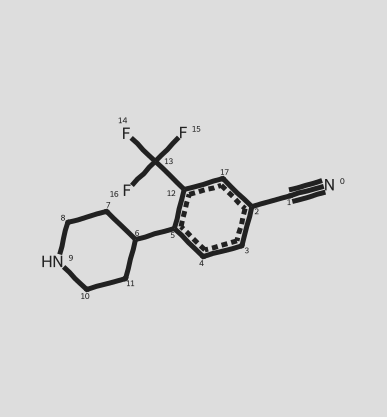 N#Cc1ccc(C2CCNCC2)c(C(F)(F)F)c1